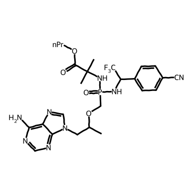 CCCOC(=O)C(C)(C)NP(=O)(COC(C)Cn1cnc2c(N)ncnc21)NC(c1ccc(C#N)cc1)C(F)(F)F